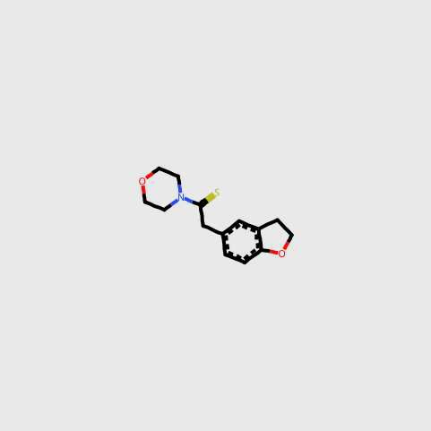 S=C(Cc1ccc2c(c1)CCO2)N1CCOCC1